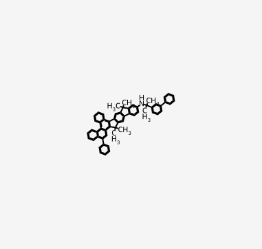 CC(C)(Nc1ccc2c(c1)C(C)(C)c1cc3c(cc1-2)C(C)(C)c1c-3c2ccccc2c2c1cc(-c1ccccc1)c1ccccc12)c1cccc(-c2ccccc2)c1